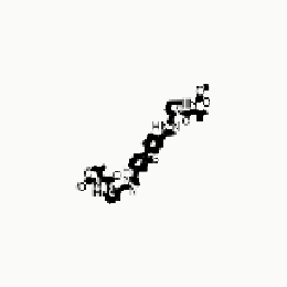 COC(=O)NC(C(=O)N1CCCC1c1ncc(-c2ccc3c(c2)sc2cc(-c4cnc(C5CCCN5C(=O)C(NC(=O)OC)C(C)C)[nH]4)ccc23)[nH]1)C(C)C